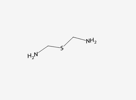 NCSCN